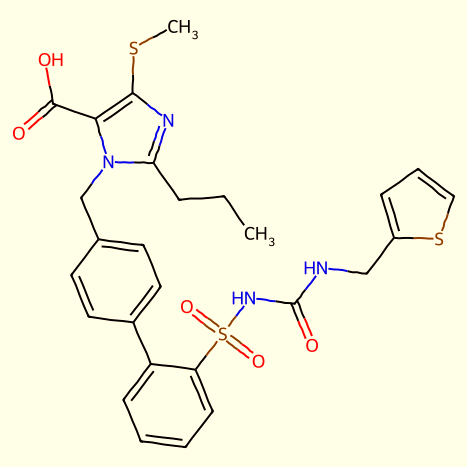 CCCc1nc(SC)c(C(=O)O)n1Cc1ccc(-c2ccccc2S(=O)(=O)NC(=O)NCc2cccs2)cc1